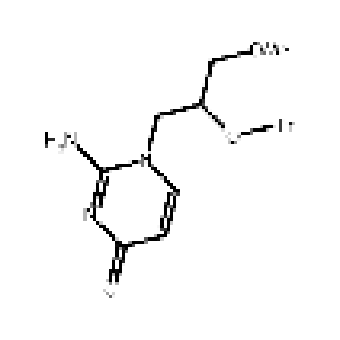 COCC(Cn1ccc(=O)nc1N)OC(C)C